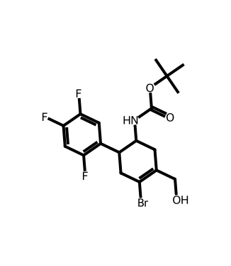 CC(C)(C)OC(=O)NC1CC(CO)=C(Br)CC1c1cc(F)c(F)cc1F